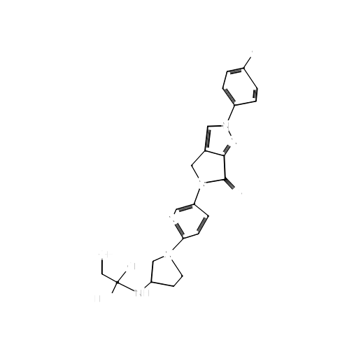 CC(C)(CO)NC1CCN(c2ccc(N3Cc4cn(-c5ccc(Cl)cc5)nc4C3=O)cn2)C1